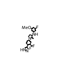 C=C1C(Nc2cc(F)cc(OC)c2)CCN1c1ccc(-c2cn[nH]c2)c(C(F)F)c1